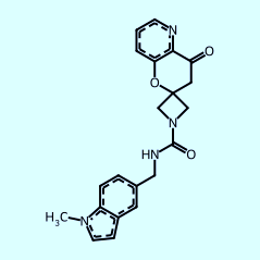 Cn1ccc2cc(CNC(=O)N3CC4(CC(=O)c5ncccc5O4)C3)ccc21